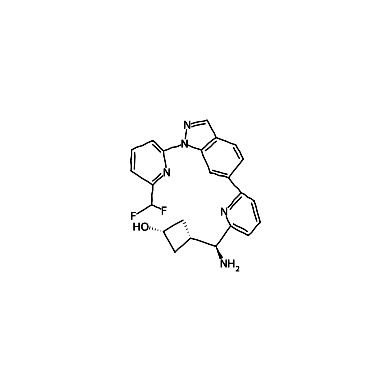 N[C@H](c1cccc(-c2ccc3cnn(-c4cccc(C(F)F)n4)c3c2)n1)[C@H]1C[C@@H](O)C1